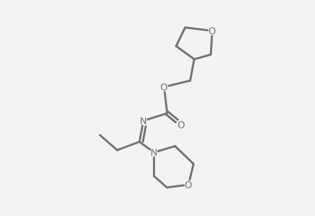 CC/C(=N/C(=O)OCC1CCOC1)N1CCOCC1